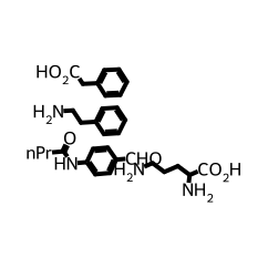 CCCC(=O)Nc1ccc(C=O)cc1.NCCCC(N)C(=O)O.NCCc1ccccc1.O=C(O)Cc1ccccc1